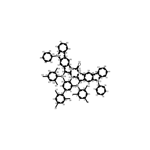 Cc1cc(C)c(B2c3cc(-c4c(C)cc(C)cc4C)cc4c3-n3c5c2c2cc6c(cc2n5c(=O)n2c5cc7c8ccccc8n(-c8ccccc8)c7cc5c(c32)B4c2c(C)cc(C)cc2C)c2ccccc2n6-c2ccccc2)c(C)c1